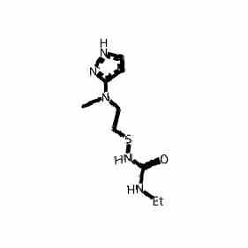 CCNC(=O)NSCCN(C)c1cc[nH]n1